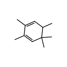 CC1=CC(C)C(C)(C)C=C1C